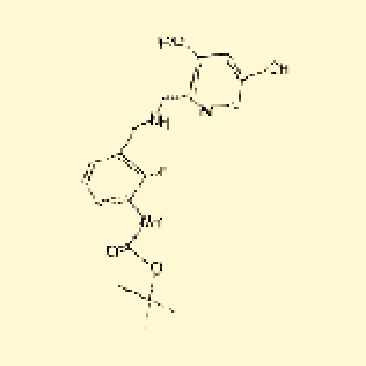 CC(C)(C)OC(=O)Nc1cccc(CNCc2ncc(O)cc2O)c1F